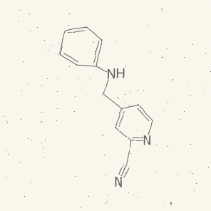 N#Cc1cc(CNc2ccccc2)ccn1